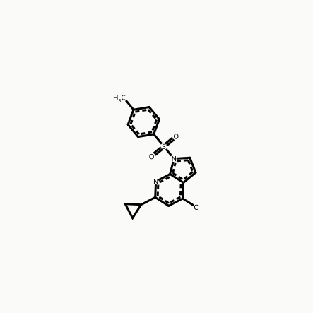 Cc1ccc(S(=O)(=O)n2ccc3c(Cl)cc(C4CC4)nc32)cc1